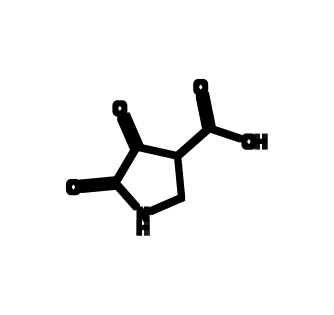 O=C1NCC(C(=O)O)C1=O